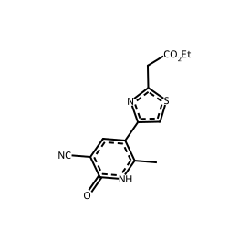 CCOC(=O)Cc1nc(-c2cc(C#N)c(=O)[nH]c2C)cs1